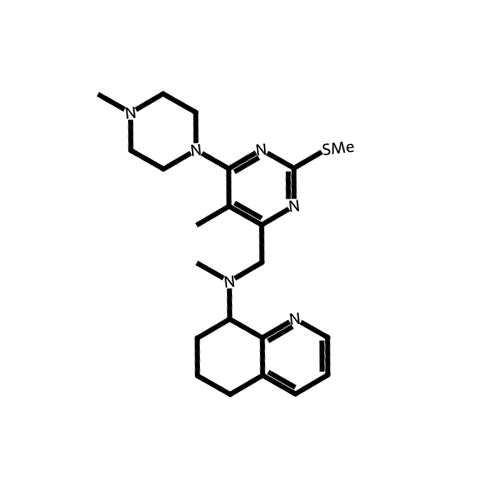 CSc1nc(CN(C)C2CCCc3cccnc32)c(C)c(N2CCN(C)CC2)n1